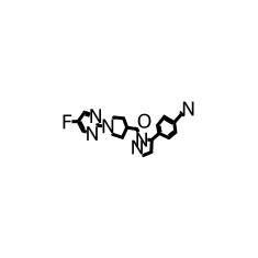 N#Cc1ccc(C2CC=NN2C(=O)C2CCN(c3ncc(F)cn3)CC2)cc1